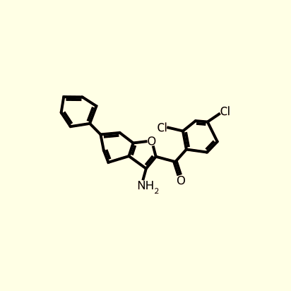 Nc1c(C(=O)c2ccc(Cl)cc2Cl)oc2cc(-c3ccccc3)ccc12